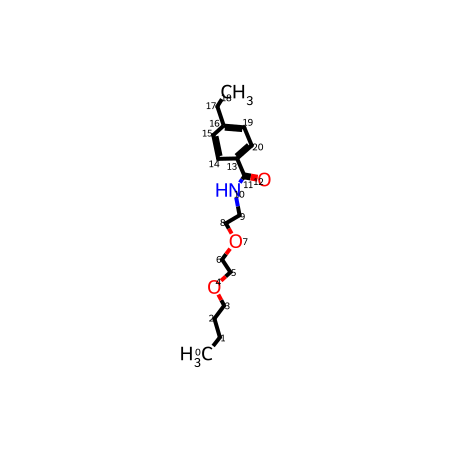 CCCCOCCOCCNC(=O)c1ccc(CC)cc1